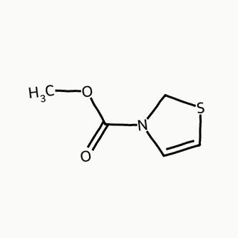 COC(=O)N1C=CSC1